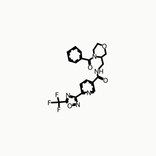 O=C(NCC1COCCN1C(=O)c1ccccc1)c1ccc(-c2noc(C(F)(F)F)n2)nc1